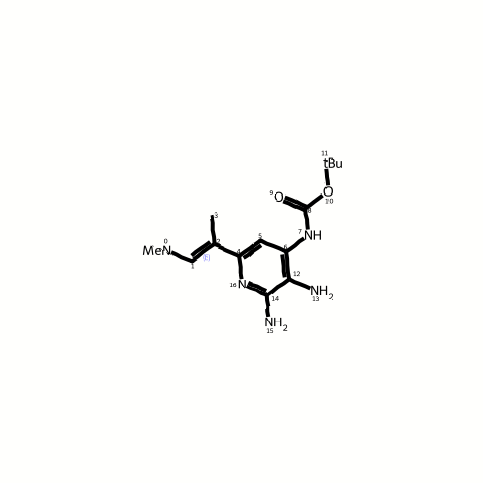 CN/C=C(\C)c1cc(NC(=O)OC(C)(C)C)c(N)c(N)n1